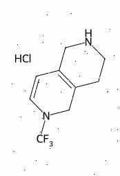 Cl.FC(F)(F)N1C=CC2=C(CCNC2)C1